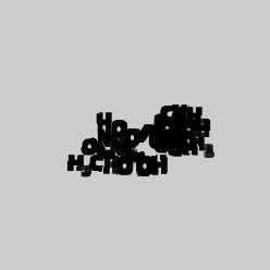 CCC(C)(CCO[C@H]([C@H](O)CO)n1cc(C)c(=O)[nH]c1=O)OP(=O)(O)C(C)(O)CC